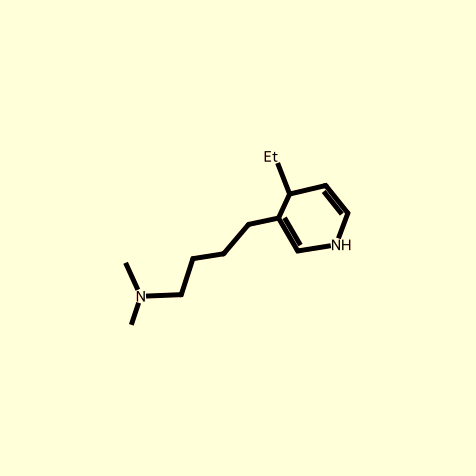 CCC1C=CNC=C1CCCCN(C)C